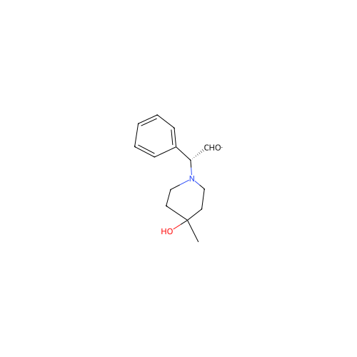 CC1(O)CCN([C@@H]([C]=O)c2ccccc2)CC1